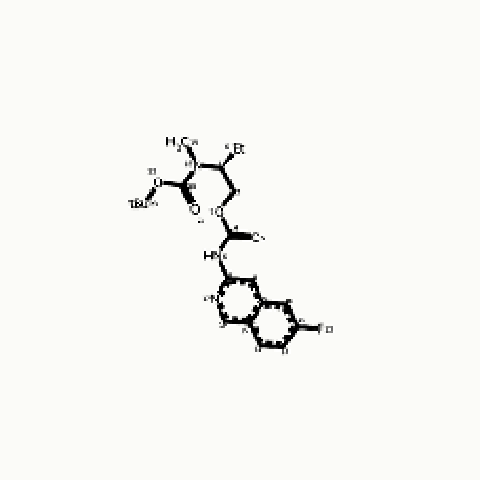 CC[C@@H](COC(=O)Nc1cc2cc(F)ccc2cn1)N(C)C(=O)OC(C)(C)C